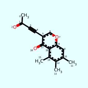 CC(=O)C#Cc1coc2cc(C)c(C)c(C)c2c1=O